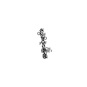 C[C@H](NC(=O)c1cn2cccnc2n1)C(=O)N1CCN(c2c(F)cc(N3C[C@H](CNC(=O)C4CC=NO4)OC3=O)cc2F)CC1